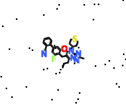 CCCc1c(Cc2ccc(-c3ccccc3C#N)cc2F)c(=O)n(C2CCSCC2)c2nc(C)nn12